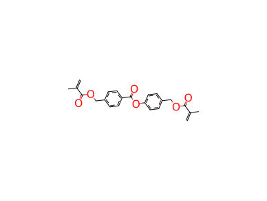 C=C(C)C(=O)OCc1ccc(OC(=O)c2ccc(COC(=O)C(=C)C)cc2)cc1